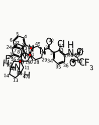 Cc1nc2ccccc2n1[C@H]1C[C@H]2CC[C@@H](C1)N2CCC1(c2cccc(F)c2)CCN(C(=O)c2cccc(NS(=O)(=O)C(F)(F)F)c2Cl)CC1